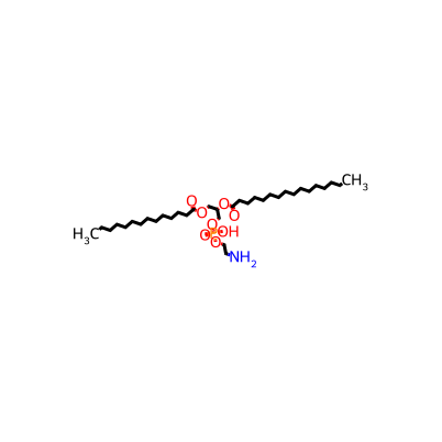 CCCCCCCCCCCCCCCC(=O)OC(COC(=O)CCCCCCCCCCCCC)COP(=O)(O)OCCN